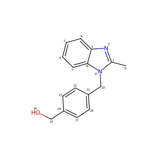 Cc1nc2ccccc2n1Cc1ccc(CO)cc1